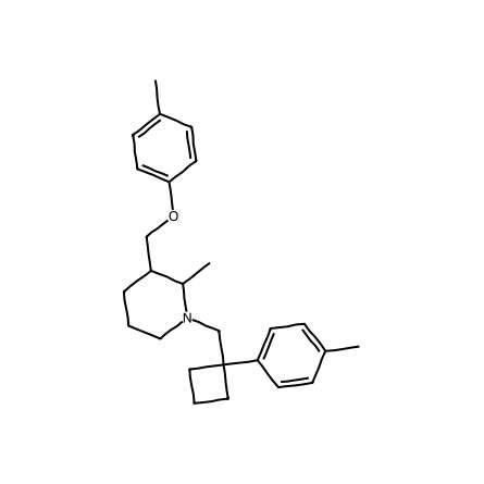 Cc1ccc(OCC2CCCN(CC3(c4ccc(C)cc4)CCC3)C2C)cc1